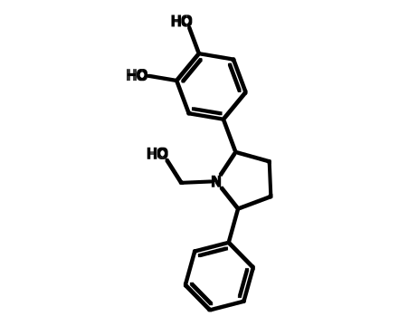 OCN1C(c2ccccc2)CCC1c1ccc(O)c(O)c1